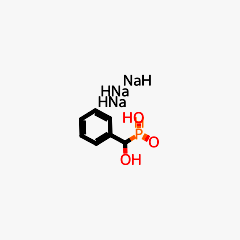 O=[PH](O)C(O)c1ccccc1.[NaH].[NaH].[NaH]